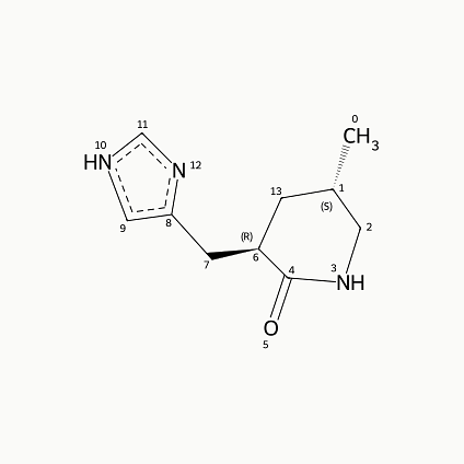 C[C@@H]1CNC(=O)[C@@H](Cc2c[nH]cn2)C1